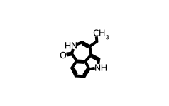 CCC1=CNC(=O)c2cccc3[nH]cc1c23